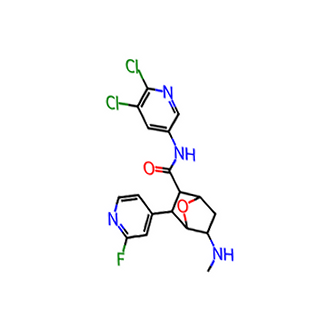 CNC1CC2OC1C(c1ccnc(F)c1)C2C(=O)Nc1cnc(Cl)c(Cl)c1